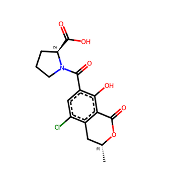 C[C@@H]1Cc2c(Cl)cc(C(=O)N3CCC[C@H]3C(=O)O)c(O)c2C(=O)O1